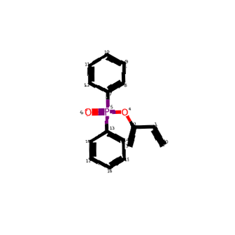 C=CC(=C)OP(=O)(c1ccccc1)c1ccccc1